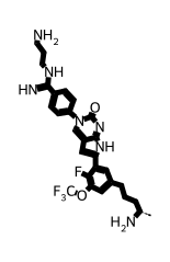 C[C@H](N)CCCc1cc(OC(F)(F)F)c(F)c(-c2cc3cn(-c4ccc(C(=N)NCCCN)cc4)c(=O)nc3[nH]2)c1